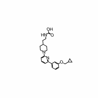 O=C(O)NCCC1CCN(c2cccc(-c3cccc(OCC4CC4)c3)n2)CC1